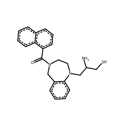 NC(CS)CN1CCN(C(=O)c2cccc3ccccc23)Cc2ccccc21